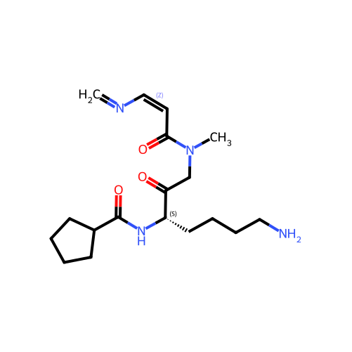 C=N/C=C\C(=O)N(C)CC(=O)[C@H](CCCCN)NC(=O)C1CCCC1